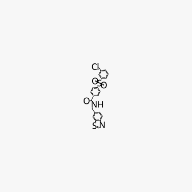 O=C(NCc1ccc2ncsc2c1)c1ccc(S(=O)(=O)c2cccc(Cl)c2)cc1